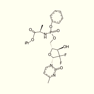 Cc1ccn([C@@H]2O[C@H](COP(=O)(N[C@H](C)C(=O)OC(C)C)Oc3ccccc3)[C@@H](O)C2(F)F)c(=O)n1